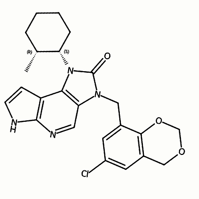 C[C@@H]1CCCC[C@@H]1n1c(=O)n(Cc2cc(Cl)cc3c2OCOC3)c2cnc3[nH]ccc3c21